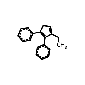 CCC1=[C]CC(c2ccccc2)=C1c1ccccc1